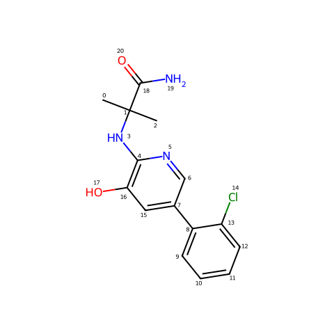 CC(C)(Nc1ncc(-c2ccccc2Cl)cc1O)C(N)=O